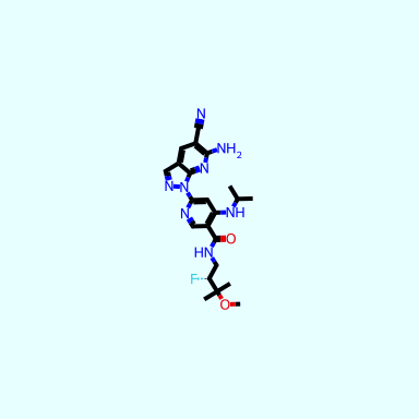 COC(C)(C)[C@H](F)CNC(=O)c1cnc(-n2ncc3cc(C#N)c(N)nc32)cc1NC(C)C